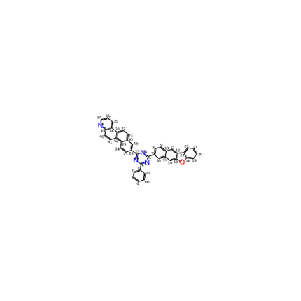 c1ccc(-c2nc(-c3ccc4cc5c(cc4c3)oc3ccccc35)nc(-c3ccc4c(ccc5c6cccnc6ccc45)c3)n2)cc1